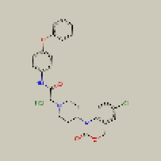 Cl.O=C(CN1CCC(N2C(=O)OCc3cc(Cl)ccc32)CC1)Nc1ccc(Oc2ccccc2)cc1